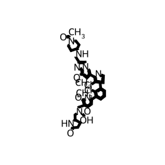 COc1nc(-c2cccc(-c3ccnc(-c4cc(OC)c5nc(CNC6CCN(C(C)=O)CC6)cn5c4)c3Cl)c2Cl)ccc1CN(CC1CCC(=O)N1)C(=O)O